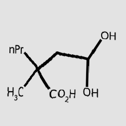 CCCC(C)(CC(O)O)C(=O)O